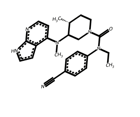 CCN(C(=O)N1CC[C@@H](C)C(N(C)c2ccnc3[nH]ccc23)C1)c1ccc(C#N)cc1